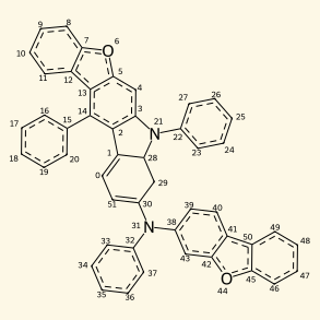 C1=C2c3c(cc4oc5ccccc5c4c3-c3ccccc3)N(c3ccccc3)C2CC(N(c2ccccc2)c2ccc3c(c2)oc2ccccc23)=C1